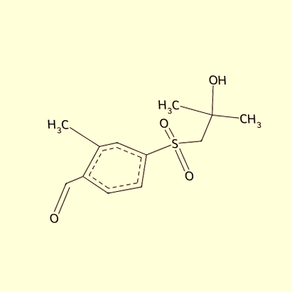 Cc1cc(S(=O)(=O)CC(C)(C)O)ccc1C=O